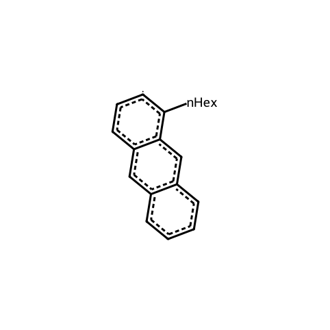 CCCCCCc1[c]ccc2cc3ccccc3cc12